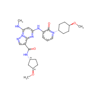 CNc1cc(Nc2cccn([C@H]3CC[C@H](OC)CC3)c2=O)nc2c(C(=O)N[C@@H]3CC[C@@H](OC)C3)cnn12